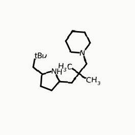 CC(C)(C)CC1CCC(CC(C)(C)CN2CCCCC2)N1